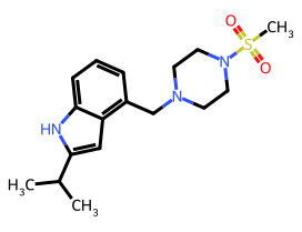 CC(C)c1cc2c(CN3CCN(S(C)(=O)=O)CC3)cccc2[nH]1